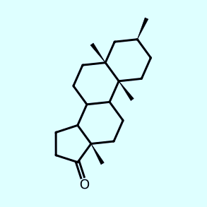 C[C@H]1CC[C@]2(C)C3CC[C@]4(C)C(=O)CCC4C3CC[C@]2(C)C1